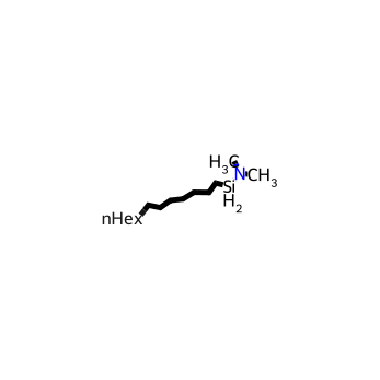 CCCCCCCCCCCCC[SiH2]N(C)C